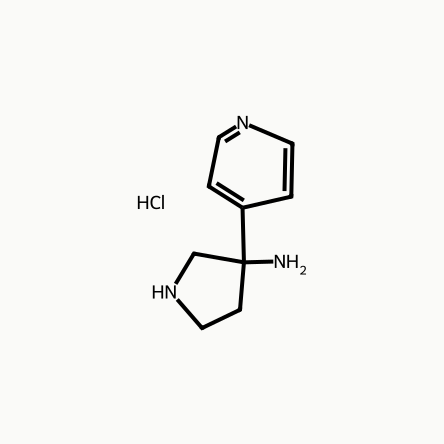 Cl.NC1(c2ccncc2)CCNC1